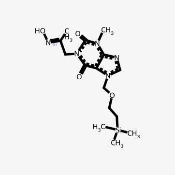 C/C(Cn1c(=O)c2c(ncn2COCC[Si](C)(C)C)n(C)c1=O)=N\O